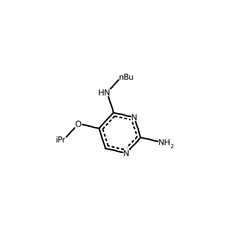 CCCCNc1nc(N)ncc1OC(C)C